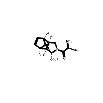 CC(C)(C)[C@H](N)C(=O)N1C[C@H]2[C@@H]([C@H]1C(=O)O)[C@H]1C=C[C@@H]2C1(F)F